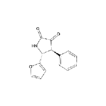 O=C1N[C@@H](c2ccco2)[C@H](c2ccccc2)C1=O